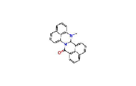 CN1c2cccc3cccc(c23)N2C(=O)c3cccc4cccc(c34)C12